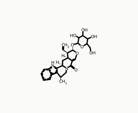 C=C[C@H]1[C@H](OC2OC(CO)C(O)C(O)C2O)OC=C2C(=O)N3C[C@H](C)c4c([nH]c5ccccc45)[C@H]3C[C@H]21